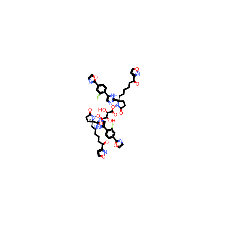 O=C(CCCCC[C@@]1(c2ncc(-c3ccc(-c4ncco4)cc3F)[nH]2)CCC(=O)N1OC(=O)C(O)C(O)C(=O)ON1C(=O)CC[C@@]1(CCCCCC(=O)c1ccon1)c1ncc(-c2ccc(-c3ncco3)cc2F)[nH]1)c1ccon1